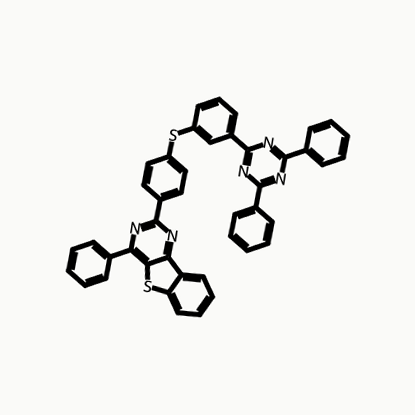 c1ccc(-c2nc(-c3ccccc3)nc(-c3cccc(Sc4ccc(-c5nc(-c6ccccc6)c6sc7ccccc7c6n5)cc4)c3)n2)cc1